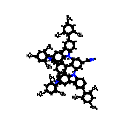 Cc1cc(C)c(-c2ccc3c(c2)c2cc(-c4c(C)cc(C)cc4C)ccc2n3-c2cc(C#N)cc(-n3c4ccc(-c5c(C)cc(C)cc5C)cc4c4cc(-c5c(C)cc(C)cc5C)ccc43)c2-c2cc(C#N)cc(C#N)c2)c(C)c1